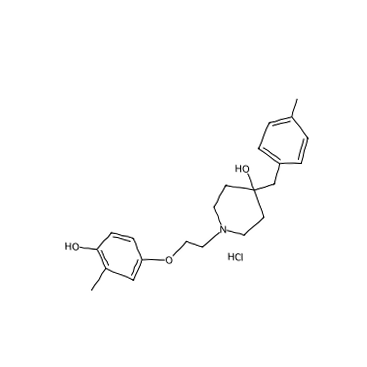 Cc1ccc(CC2(O)CCN(CCOc3ccc(O)c(C)c3)CC2)cc1.Cl